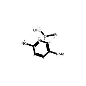 CC(C)(C)OC=O.CNc1ccc(C#N)nc1